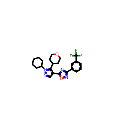 FC(F)(F)c1cccc(-c2noc(-c3cnn(C4CCCCC4)c3C3CCOCC3)n2)c1